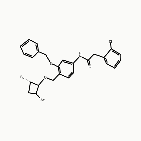 CC(=O)C1C[C@H](F)C1OCc1ccc(NC(=O)Cc2ccccc2Cl)cc1SCc1ccccc1